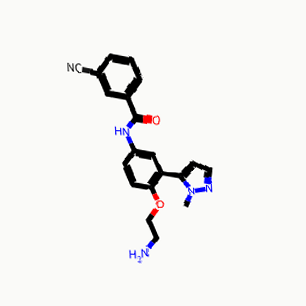 Cn1nccc1-c1cc(NC(=O)c2cccc(C#N)c2)ccc1OCCN